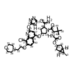 C[C@H]1[C@H]2C[C@@H](OC(=O)N[C@H](C(=O)N3CC(Oc4cc(Oc5nnc[nH]5)nc5c(Cl)c(OCCN6CCOCC6)ccc45)C[C@H]3C(N)=O)C(C)(C)C)C[C@@H]12